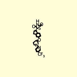 O=C1NC(=O)C([C@@H]2CCc3cc(O[C@H]4CCCN(c5ccc(C(F)(F)F)cn5)C4)ccc32)S1